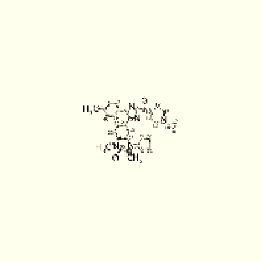 Cc1ccc(-n2nc(C(=O)N3CCN(C4CC4)CC3)nc2-c2ccc3c(c2)N(C2CCCC2)[C@H](C)C(=O)N3C)cc1